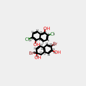 Oc1c(Cl)ccc2c(O)c(Cl)ccc12.Oc1cc2c(cc1Br)C=CC(O)(Br)C2